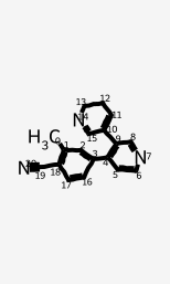 Cc1cc(-c2ccncc2C2=CCCN=C2)ccc1C#N